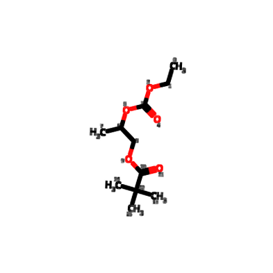 CCOC(=O)OC(C)COC(=O)C(C)(C)C